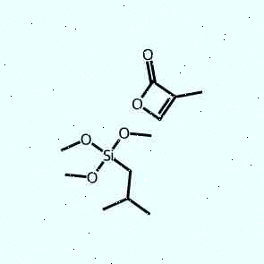 CC1=COC1=O.CO[Si](CC(C)C)(OC)OC